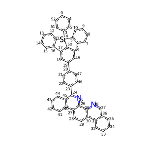 c1ccc([Si]2(c3ccccc3)c3ccccc3-c3cc(-c4ccc(-c5nc6c(ccc7c8ccccc8cnc76)c6ccccc56)cc4)ccc32)cc1